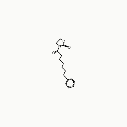 O=C(CCCCCCc1ccccc1)N1CCOC1=O